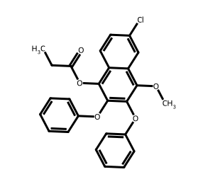 CCC(=O)Oc1c(Oc2ccccc2)c(Oc2ccccc2)c(OC)c2cc(Cl)ccc12